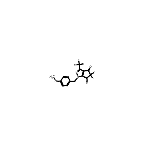 COc1ccc(Cn2nc(C(F)(F)F)c3c2C(F)C(F)(F)C3=O)cc1